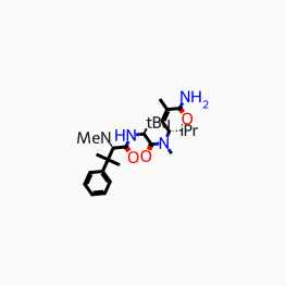 CN[C@H](C(=O)N[C@H](C(=O)N(C)[C@H](C=C(C)C(N)=O)C(C)C)C(C)(C)C)C(C)(C)c1ccccc1